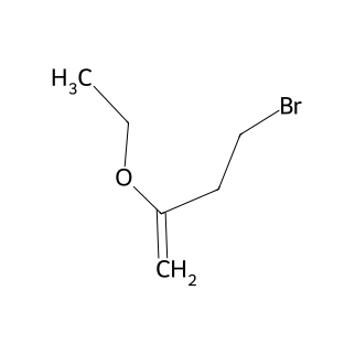 C=C(CCBr)OCC